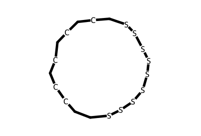 C1CCCCCSSSSSSSSSCCCCC1